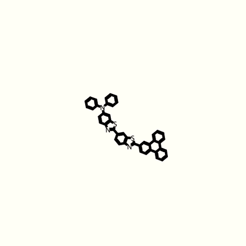 c1ccc(N(c2ccccc2)c2ccc3nc(-c4ccc5nc(-c6ccc7c8ccccc8c8ccccc8c7c6)sc5c4)sc3c2)cc1